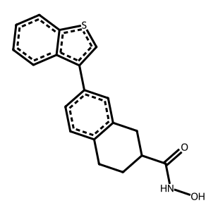 O=C(NO)C1CCc2ccc(-c3csc4ccccc34)cc2C1